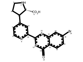 O=C(O)[C@H]1NCCC1c1ccnc(-c2nc(=O)c3ccc(Br)cc3s2)c1